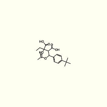 CCC(O)(C(=O)O)C(C(=O)O)C(O[SiH](C)C)c1ccc(C(C)(C)C)cc1